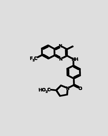 Cc1nc2ccc(C(F)(F)F)cc2nc1Nc1ccc(C(=O)N2CCC(C(=O)O)C2)cc1